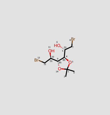 CC1(C)O[C@H]([C@H](O)CBr)[C@@H]([C@H](O)CBr)O1